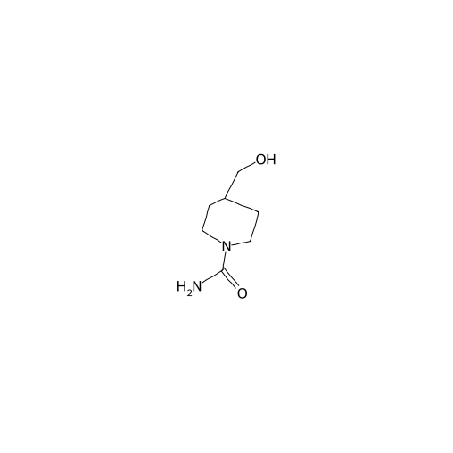 NC(=O)N1CCC(CO)CC1